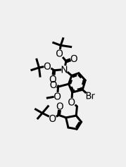 COC(=O)c1c(N(C(=O)OC(C)(C)C)C(=O)OC(C)(C)C)ccc(Br)c1OCC1C=CCC1C(=O)OC(C)(C)C